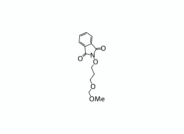 COCOCCCON1C(=O)c2ccccc2C1=O